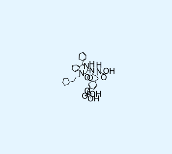 O=C(O)NC(Cc1ccc(OP(=O)(O)O)cc1)C(=O)NC1N=C(c2ccccc2)c2ccccc2N(CCCC2CCCCC2)C1=O